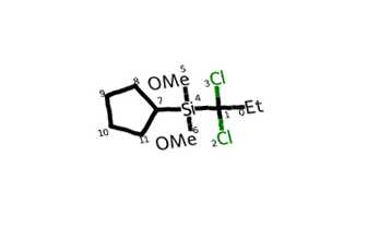 CCC(Cl)(Cl)[Si](OC)(OC)C1CCCC1